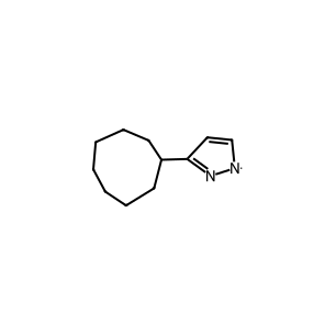 C1=CC(C2CCCCCCC2)=N[N]1